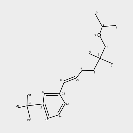 CC(C)OCC(C)(C)CC/C=C/c1cccc(C(C)(C)C)c1